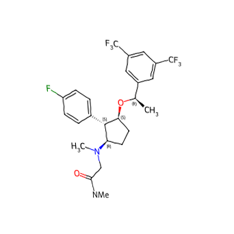 CNC(=O)CN(C)[C@@H]1CC[C@H](O[C@H](C)c2cc(C(F)(F)F)cc(C(F)(F)F)c2)[C@H]1c1ccc(F)cc1